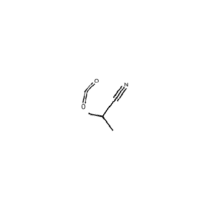 CC(C)C#N.O=C=O